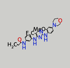 C=CC(=O)Nc1cccc(Nc2nc(Nc3ccc(N4CCCOCC4)cc3OC)ncc2C(F)(F)F)c1